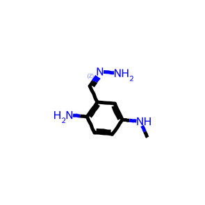 CNc1ccc(N)c(/C=N\N)c1